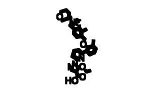 CCOC1C(C(=O)O)C=NN1c1cccc(-c2cccc(C)c2OCc2ccc3c(c2C)CCN([C@H]2CCCOC2)C3)n1